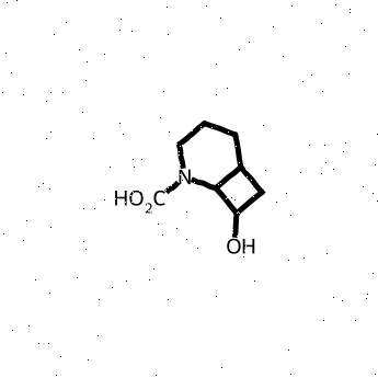 O=C(O)N1CCCC2CC(O)C21